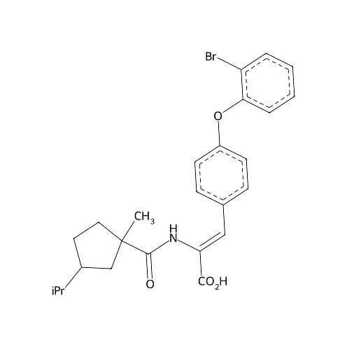 CC(C)C1CCC(C)(C(=O)NC(=Cc2ccc(Oc3ccccc3Br)cc2)C(=O)O)C1